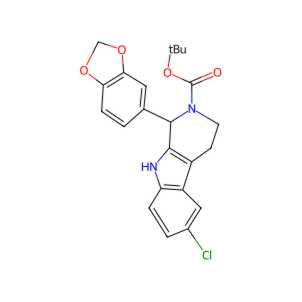 CC(C)(C)OC(=O)N1CCc2c([nH]c3ccc(Cl)cc23)C1c1ccc2c(c1)OCO2